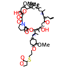 C=CC[C@@H]1/C=C(\C)C[C@H](C)C[C@H](OC)C2O[C@@](O)(C(=O)C(=O)N3CCCC[C@H]3C(=O)O[C@H](/C(C)=C/[C@@H]3CC[C@@H](OCCCSC4CCOC4=O)[C@H](OC)C3)[C@H](C)[C@@H](O)CC1=O)[C@H](C)C[C@@H]2OC